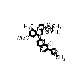 COc1cc(C)cc(N(Cc2nccn2S(=O)(=O)N(C)C)c2ccc3ncc(-c4cnn(C)c4)c(Cl)c3n2)c1